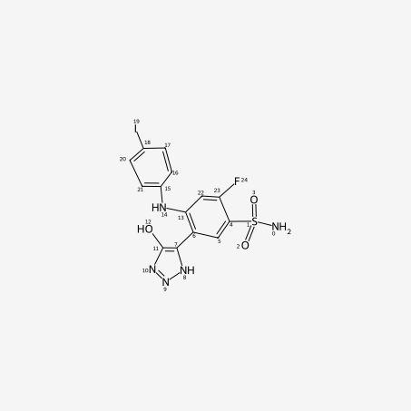 NS(=O)(=O)c1cc(-c2[nH]nnc2O)c(Nc2ccc(I)cc2)cc1F